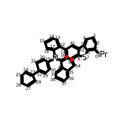 CC(C)c1cccc2c1sc1ccc(-c3ccccc3N(c3ccc(-c4ccccc4)cc3)c3cccc4ccccc34)cc12